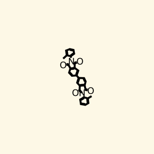 Cc1ccccc1N1C(=O)c2ccc(-c3ccc4c(c3)C(=O)N(c3ccccc3C)C4=O)cc2C1=O